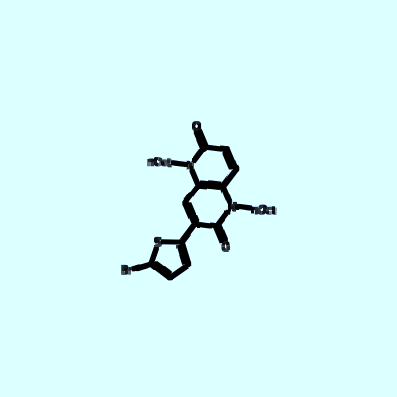 CCCCCCCCn1c(=O)ccc2c1cc(-c1ccc(Br)s1)c(=O)n2CCCCCCCC